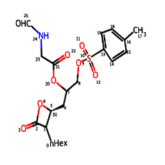 CCCCCCC1C(=O)O[C@H]1CC(COS(=O)(=O)c1ccc(C)cc1)OC(=O)CNC=O